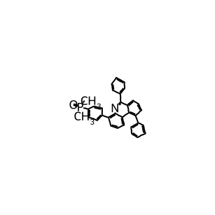 CP(C)(=O)c1ccc(-c2cccc3c2nc(-c2ccccc2)c2cccc(-c4ccccc4)c23)cc1